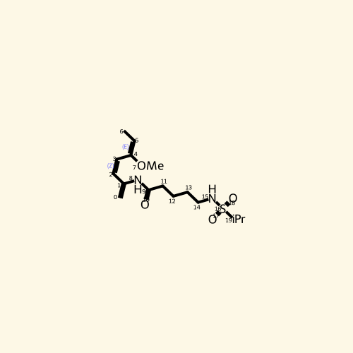 C=C(/C=C\C(=C/C)OC)NC(=O)CCCCNS(=O)(=O)C(C)C